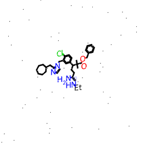 CCN/C=C(\N)CCC(c1ccc(Cl)c(Cn2ccnc2CC2CCCCCC2)c1)C(C)(C)C(=O)OCc1ccccc1